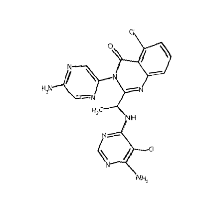 CC(Nc1ncnc(N)c1Cl)c1nc2cccc(Cl)c2c(=O)n1-c1cnc(N)cn1